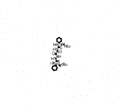 CC(C)(C)N=NC1(NC(=S)NNC(=O)NNC(=S)NC2(N=NC(C)(C)C)CCCCC2)CCCCC1